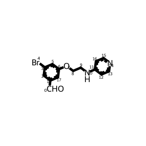 O=Cc1cc(Br)cc(OCCNc2ccncc2)c1